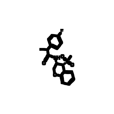 CC(C(=O)N[C@@H]1COc2ccccc2[C@H]1S(C)(=O)=O)c1ccc(F)cc1